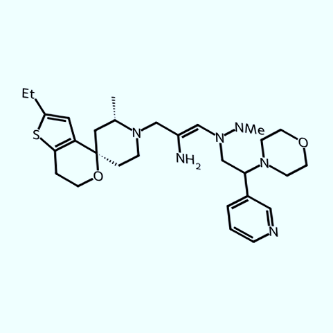 CCc1cc2c(s1)CCO[C@@]21CCN(C/C(N)=C/N(CC(c2cccnc2)N2CCOCC2)NC)[C@@H](C)C1